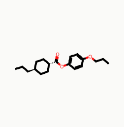 CCCOc1ccc(OC(=O)[C@H]2CC[C@H](CCC)CC2)cc1